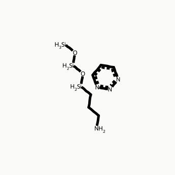 NCCC[SiH2]O[SiH2]O[SiH3].c1cnnnc1